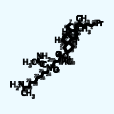 CC(C)CCC[C@@H](C)[C@H]1CC[C@H]2[C@@H]3CC=C4C[C@@H](OC(=O)CCC(=O)N(CCCCCCCC(C)N)CCC(C)N)CC[C@]4(C)[C@H]3CC[C@]12C.Cl.Cl